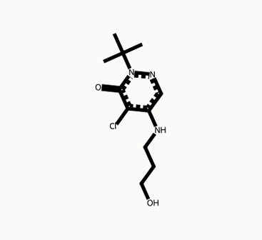 CC(C)(C)n1ncc(NCCCO)c(Cl)c1=O